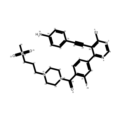 CCc1ncnc(-c2ccc(C(=O)N3CCN(CCCS(C)(=O)=O)CC3)c(F)c2)c1C#Cc1ccc(N)cc1